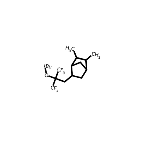 CC1C2CC(CC(OC(C)(C)C)(C(F)(F)F)C(F)(F)F)C(C2)C1C